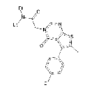 CCN(CC)C(=O)Cn1cnc2sc(C)c(-c3ccc(Cl)cc3)c2c1=O